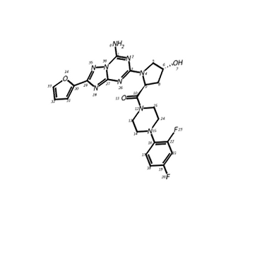 Nc1nc(N2C[C@H](O)C[C@H]2C(=O)N2CCN(c3ccc(F)cc3F)CC2)nc2nc(-c3ccco3)nn12